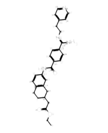 CCOC(=O)CC1CCc2ccc(NC(=O)c3ccc(C(N)=NCCc4ccncc4)cc3)cc2C1